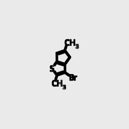 CC1=Cc2sc(C)c(Br)c2C1